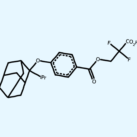 CC(C)C1(Oc2ccc(C(=O)OCC(F)(F)C(=O)O)cc2)C2CC3CC(C2)CC1C3